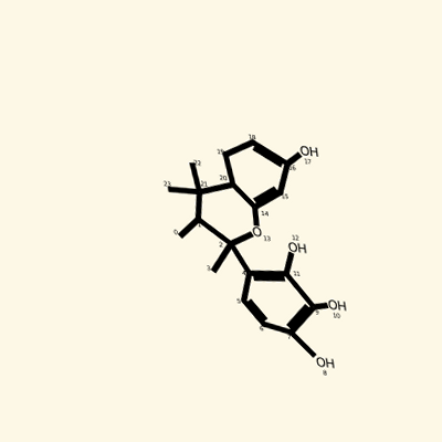 CC1C(C)(c2ccc(O)c(O)c2O)OC2=CC(O)=CCC2C1(C)C